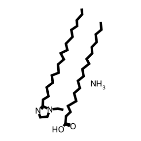 CCCCCCCCCCCCCCCCCC(=O)O.CCCCCCCCCCCCCCCCCC1=NCCN1CC.N